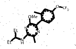 CCC(CC)Nc1nc(OC)c(-c2ccc(OC(F)(F)F)cc2C)nc1C